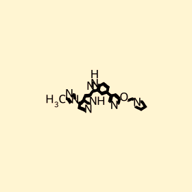 Cc1cn(-c2ccnc3[nH]c(-c4n[nH]c5ccc(-c6cncc(OCCN7CCCC7)c6)cc45)cc23)cn1